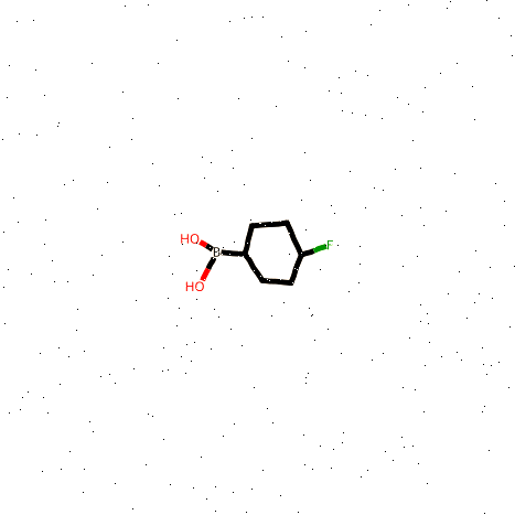 OB(O)C1CCC(F)CC1